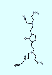 N#CCNCCN(CCN)CCN1CCN(CCN(CC#N)CCN)C1=O